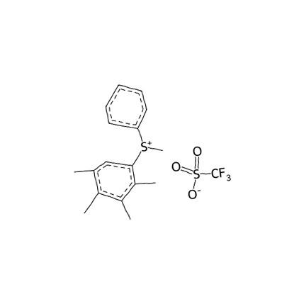 Cc1cc([S+](C)c2ccccc2)c(C)c(C)c1C.O=S(=O)([O-])C(F)(F)F